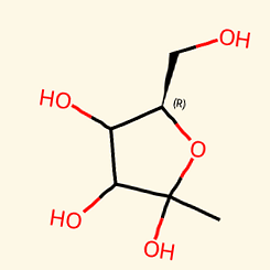 CC1(O)O[C@H](CO)C(O)C1O